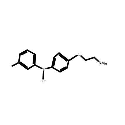 CNCCOc1ccc([S+]([O-])c2cccc(C)c2)cc1